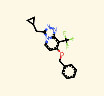 FC(F)(F)c1c(OCc2ccccc2)ccn2c(CC3CC3)nnc12